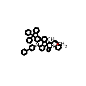 C=C/C=C\C1=C(C)C2(c3ccccc3-c3c(N(c4ccc(-c5ccccc5)cc4)c4ccc5c(c4)C(c4ccccc4)(c4ccccc4)c4ccccc4-5)cccc32)c2ccccc2N1c1ccccc1